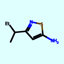 CCC(C)c1cc(N)sn1